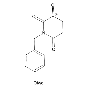 COc1ccc(CN2C(=O)CC[C@H](O)C2=O)cc1